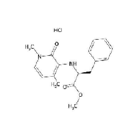 COC(=O)[C@H](Cc1ccccc1)Nc1c(C)ccn(C)c1=O.Cl